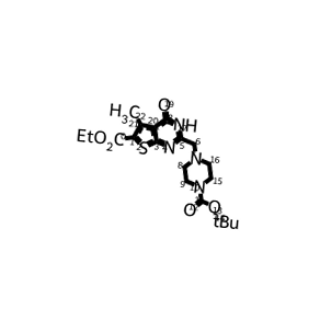 CCOC(=O)c1sc2nc(CN3CCN(C(=O)OC(C)(C)C)CC3)[nH]c(=O)c2c1C